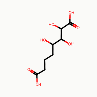 O=C(O)CCCC(O)C(O)C(O)C(=O)O